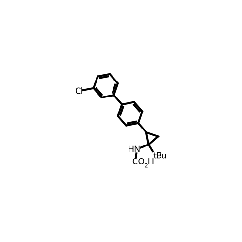 CC(C)(C)C1(NC(=O)O)CC1c1ccc(-c2cccc(Cl)c2)cc1